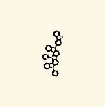 C1=CC2c3c(ccc4c5ccc6c(c7ccccc7n6-c6ccc7oc8ccccc8c7c6)c5n(-c5ncccn5)c34)N(c3ccccc3)C2C=C1